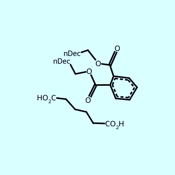 CCCCCCCCCCCOC(=O)c1ccccc1C(=O)OCCCCCCCCCCC.O=C(O)CCCCC(=O)O